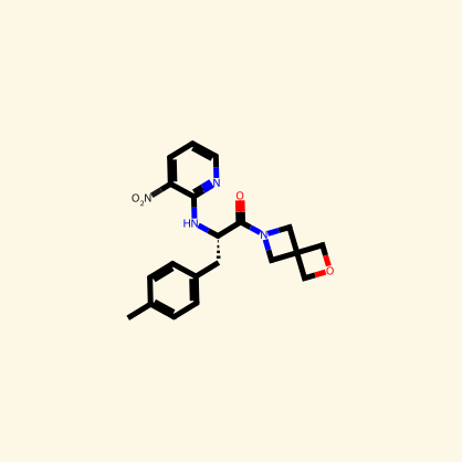 Cc1ccc(C[C@H](Nc2ncccc2[N+](=O)[O-])C(=O)N2CC3(COC3)C2)cc1